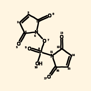 O=C1C=CC(=O)N1OP(=O)(O)N1C(=O)C=CC1=O